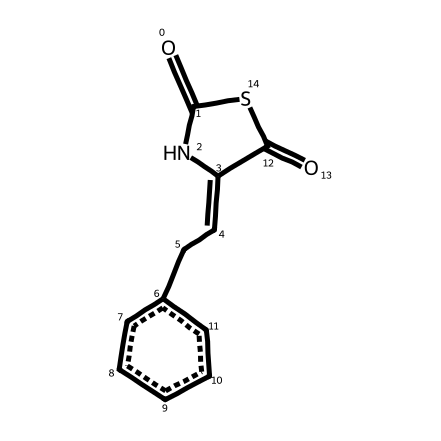 O=C1NC(=CCc2ccccc2)C(=O)S1